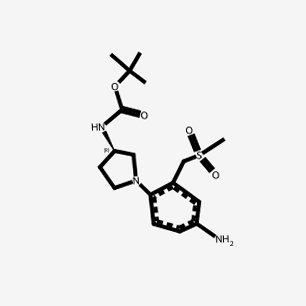 CC(C)(C)OC(=O)N[C@@H]1CCN(c2ccc(N)cc2CS(C)(=O)=O)C1